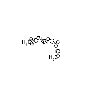 COc1ccc(COC(=O)N2CCC(Oc3cc(N4CCc5cc(S(C)(=O)=O)ccc54)ncn3)CC2)cc1